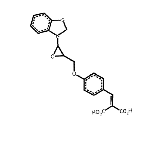 O=C(O)C(=Cc1ccc(OCC2OC2N2CSc3ccccc32)cc1)C(=O)O